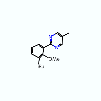 CCC(C)c1cccc(-c2ncc(C)cn2)c1OC